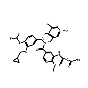 COc1ccc(C(=O)O[C@@H](Cc2c(Cl)c[n+]([O-])cc2Cl)c2ccc(OC(F)F)c(OCC3CC3)c2)cc1NC(=O)CC(=O)O